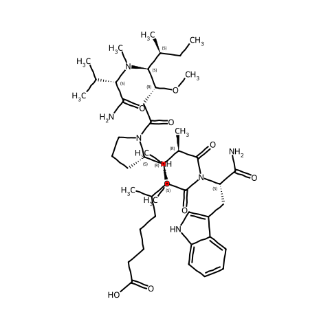 CC[C@H](C)[C@@H]([C@@H](CC(=O)N1CCC[C@H]1[C@H](OC)[C@@H](C)C(=O)N(C(=O)[C@@H](NC)C(C)CCCCC(=O)O)[C@@H](Cc1c[nH]c2ccccc12)C(N)=O)OC)N(C)[C@H](C(N)=O)C(C)C